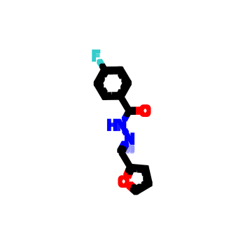 O=C(N/N=C/c1ccco1)c1ccc(F)cc1